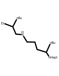 CCCCCCCC(CCCC)CCCNCC(CC)CCCC